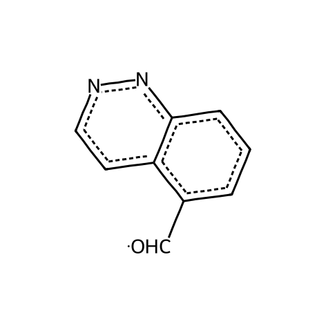 O=[C]c1cccc2nnccc12